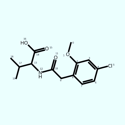 COc1cc(Cl)ccc1CC(=O)NC(C(=O)O)C(C)C